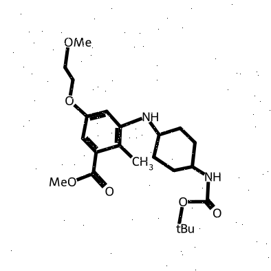 COCCOc1cc(NC2CCC(NC(=O)OC(C)(C)C)CC2)c(C)c(C(=O)OC)c1